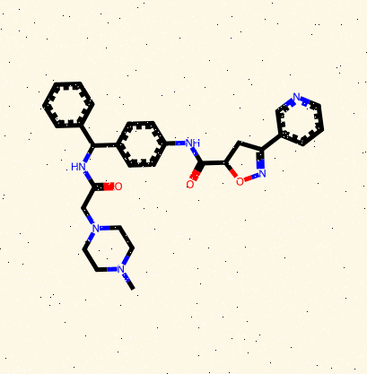 CN1CCN(CC(=O)NC(c2ccccc2)c2ccc(NC(=O)C3CC(c4cccnc4)=NO3)cc2)CC1